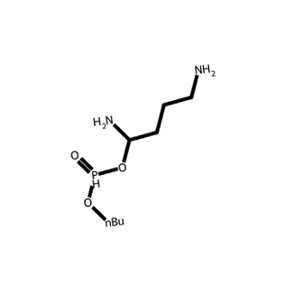 CCCCO[PH](=O)OC(N)CCCN